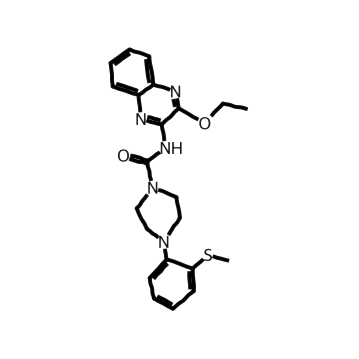 CCOc1nc2ccccc2nc1NC(=O)N1CCN(c2ccccc2SC)CC1